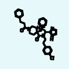 CC(c1ncc[nH]1)N(CCc1ccc(Cl)cc1)C(=O)C1(Cc2ccccc2)CCN(C(=O)CCc2ccccc2)CC1